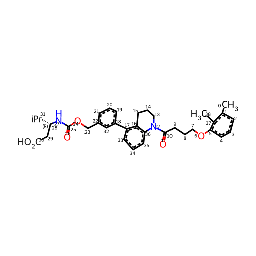 Cc1cccc(OCCCC(=O)N2CCCc3c(-c4cccc(COC(=O)N[C@H](CC(=O)O)C(C)C)c4)cccc32)c1C